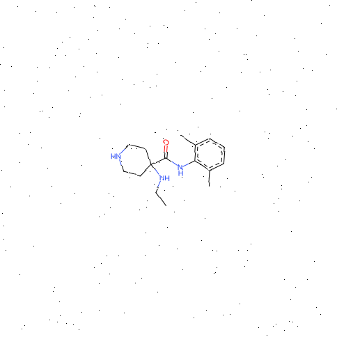 CCNC1(C(=O)Nc2c(C)cccc2C)CCNCC1